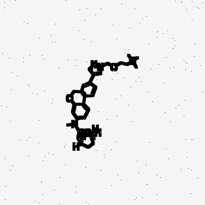 CN(c1ccc2c(c1)OCc1cc(-c3cnn(COCC[Si](C)(C)C)c3)ccc1-2)C1C[C@H]2CC[C@@H](C1)N2C(=O)O